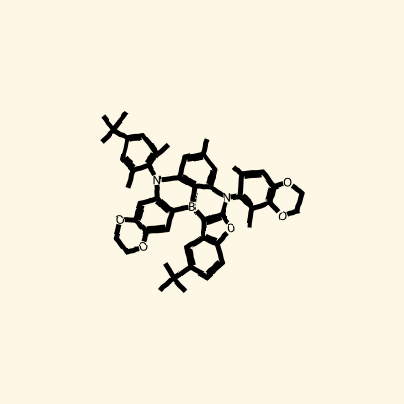 Cc1cc2c3c(c1)N(c1c(C)cc4c(c1C)OCCO4)c1oc4ccc(C(C)(C)C)cc4c1B3c1cc3c(cc1N2c1c(C)cc(C(C)(C)C)cc1C)OCCO3